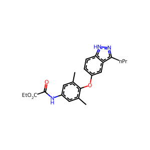 CCCc1n[nH]c2ccc(Oc3c(C)cc(NC(=O)C(=O)OCC)cc3C)cc12